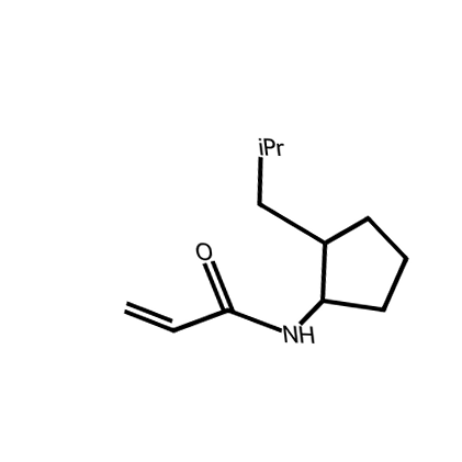 C=CC(=O)NC1CCCC1CC(C)C